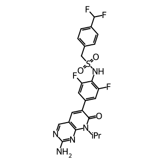 CC(C)n1c(=O)c(-c2cc(F)c(NS(=O)(=O)Cc3ccc(C(F)F)cc3)c(F)c2)cc2cnc(N)nc21